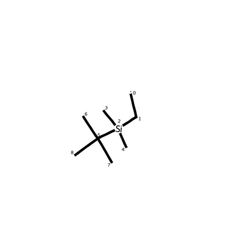 [CH2]C[Si](C)(C)C(C)(C)C